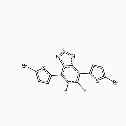 Fc1c(F)c(-c2ccc(Br)s2)c2nsnc2c1-c1ccc(Br)s1